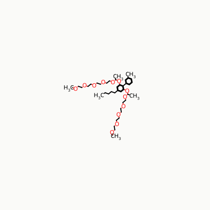 CCCCCc1cc(OC(C)OCCOCCOCCOCCOC)c(-c2cccc(C)c2)c(OC(C)OCCOCCOCCOCCOC)c1